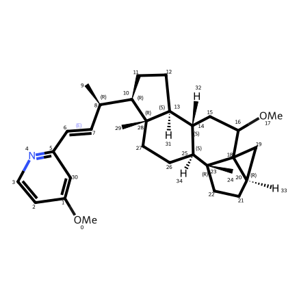 COc1ccnc(/C=C/[C@@H](C)[C@H]2CC[C@H]3[C@@H]4CC(OC)C56C[C@H]5CC[C@]6(C)[C@H]4CC[C@]23C)c1